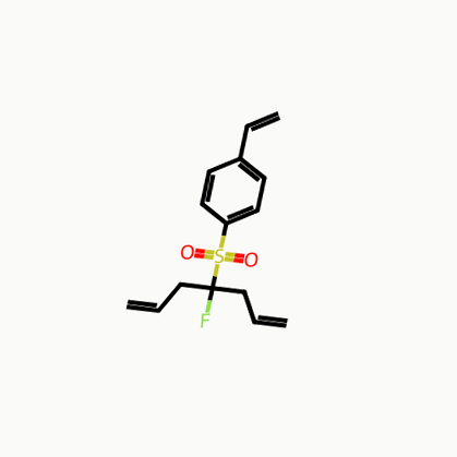 C=CCC(F)(CC=C)S(=O)(=O)c1ccc(C=C)cc1